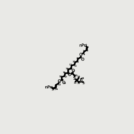 CCC/C=C\CCOC(=O)CCCCCC(CCCCCC(=O)OCC/C=C\CCC)OC(=O)CSC(C)(C)CN(C)C